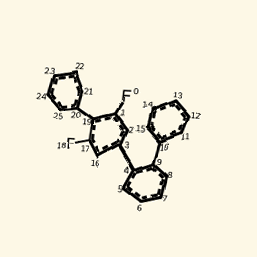 Fc1cc(-c2ccccc2-c2ccccc2)cc(F)c1-c1ccccc1